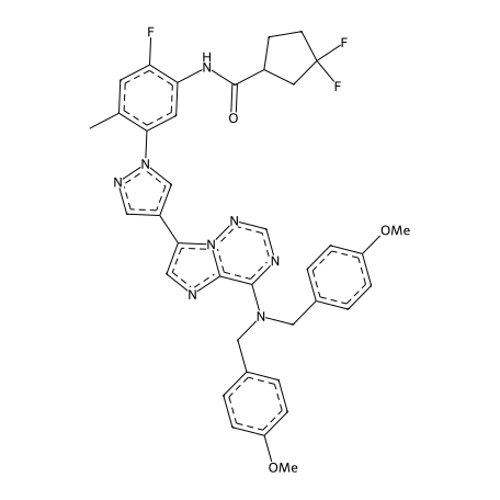 COc1ccc(CN(Cc2ccc(OC)cc2)c2ncnn3c(-c4cnn(-c5cc(NC(=O)C6CCC(F)(F)C6)c(F)cc5C)c4)cnc23)cc1